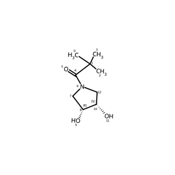 CC(C)(C)C(=O)N1C[C@@H](O)[C@@H](O)C1